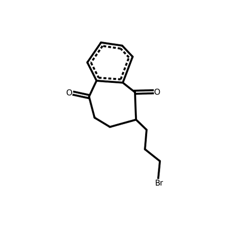 O=C1CCC(CCCBr)C(=O)c2ccccc21